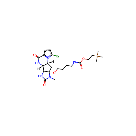 CN1C(=O)NC2[C@@H]3NC(=O)c4ccc(Br)n4[C@@H]3C[C@]21OCCCCNC(=O)OCCS(C)(C)C